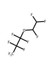 FC(F)C(F)OC(F)(F)C(F)(F)C(F)(F)F